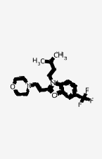 CC(C)CC[n+]1c(/C=C/N2CCOCC2)oc2cc(C(F)(F)F)ccc21